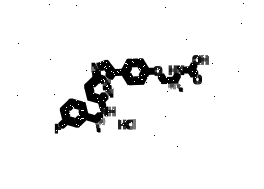 C[C@H](COc1ccc(-c2cnc3ccc(N[C@H](C)c4cccc(F)c4)nn23)cc1)NC(=O)O.Cl